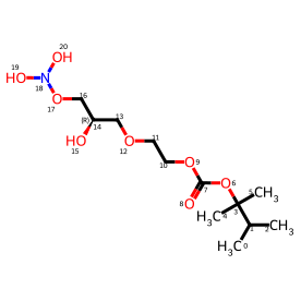 CC(C)C(C)(C)OC(=O)OCCOC[C@@H](O)CON(O)O